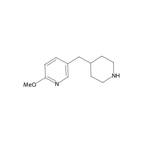 COc1ccc(CC2CCNCC2)cn1